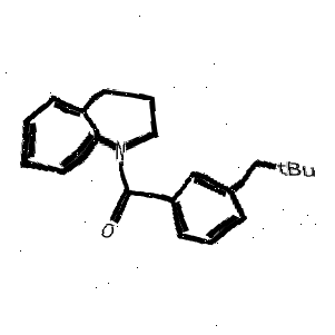 CC(C)(C)Cc1cccc(C(=O)N2CCCc3ccccc32)c1